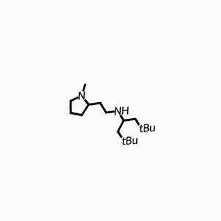 CN1CCCC1CCNC(CC(C)(C)C)CC(C)(C)C